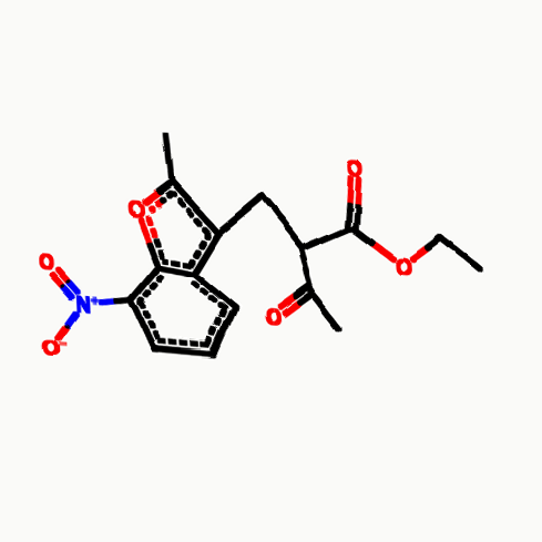 CCOC(=O)C(Cc1c(C)oc2c([N+](=O)[O-])cccc12)C(C)=O